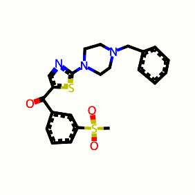 CS(=O)(=O)c1cccc(C(=O)c2cnc(N3CCN(Cc4ccccc4)CC3)s2)c1